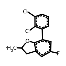 [CH2]C1Cc2cc(F)cc(-c3cccc(Cl)c3Cl)c2O1